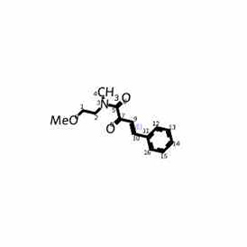 COCCN(C)C(=O)C(=O)/C=C/c1ccccc1